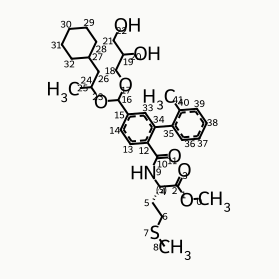 COC(=O)[C@H](CCSC)NC(=O)c1ccc(C(OCC(O)CO)OC(C)CC2CCCCC2)cc1-c1ccccc1C